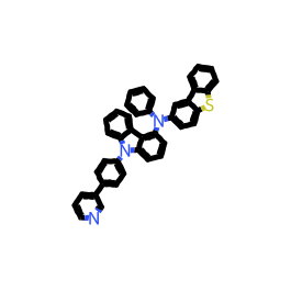 c1ccc(N(c2ccc3sc4ccccc4c3c2)c2cccc3c2c2ccccc2n3-c2ccc(-c3cccnc3)cc2)cc1